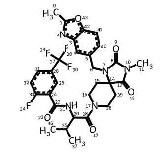 Cc1nc2cc(CN3C(=O)N(C)C(=O)C34CCN(C(=O)C(NC(=O)c3cc(C(F)(F)F)ccc3F)C(C)C)CC4)ccc2o1